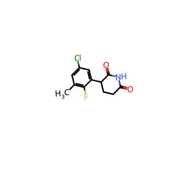 Cc1cc(Cl)cc(C2CCC(=O)NC2=O)c1F